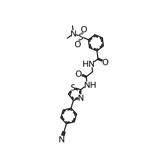 CN(C)S(=O)(=O)c1cccc(C(=O)NCC(=O)Nc2nc(-c3ccc(C#N)cc3)cs2)c1